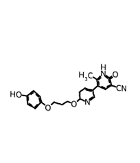 Cc1[nH]c(=O)c(C#N)cc1C1=CCC(OCCCOc2ccc(O)cc2)N=C1